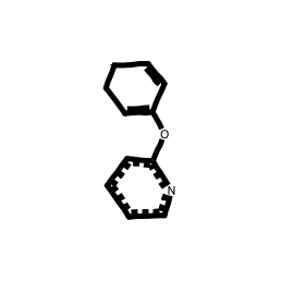 [CH]1C=CC(Oc2ccccn2)=CC1